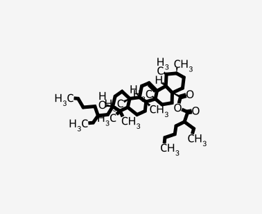 CCCCC(CC)C[C@]1(O)CC[C@@]2(C)C(CC[C@]3(C)[C@@H]2CC=C2[C@@H]4[C@@H](C)[C@H](C)CC[C@]4(C(=O)OC(=O)C(CC)CCCC)CC[C@]23C)C1(C)C